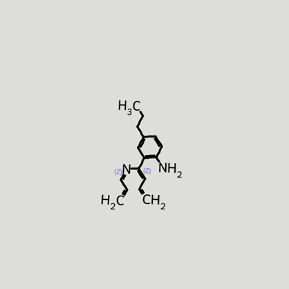 C=C/C=N\C(=C/C=C)c1cc(CCC)ccc1N